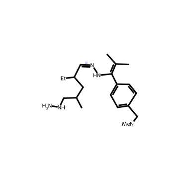 CCC(/C=N\NC(=C(C)C)c1ccc(CNC)cc1)CC(C)CNN